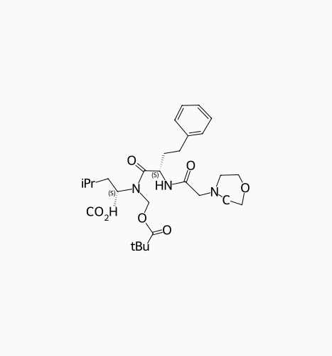 CC(C)C[C@@H](C(=O)O)N(COC(=O)C(C)(C)C)C(=O)[C@H](CCc1ccccc1)NC(=O)CN1CCOCC1